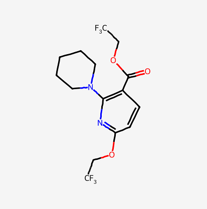 O=C(OCC(F)(F)F)c1ccc(OCC(F)(F)F)nc1N1CCCCC1